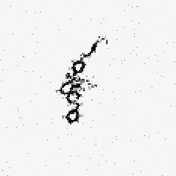 CC#CCOc1ccc(S(=O)(=O)N2CCSC3(CCN(Cc4ccccc4)CC3)C2C(=O)NO)cc1.Cl